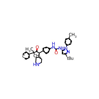 Cc1ccc(-n2nc(C(C)(C)C)cc2NC(=O)Nc2ccc(C(C(=O)C(C)(C)c3ccccc3)C3CCNCC3)cc2)cc1